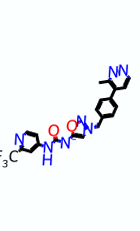 Cc1nnccc1-c1ccc(C[n+]2cc([N-]C(=O)Nc3ccnc(C(F)(F)F)c3)on2)cc1